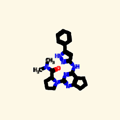 CN(C)C(=O)C1CCCN1c1nc2c(c(Nc3cc(-c4ccccc4)[nH]n3)n1)CCC2